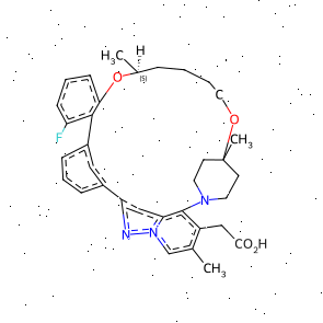 Cc1cn2nc3cc2c(c1CC(=O)O)N1CCC(C)(CC1)OCCCC[C@H](C)Oc1cccc(F)c1-c1cccc-3c1